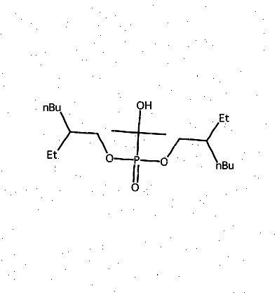 CCCCC(CC)COP(=O)(OCC(CC)CCCC)C(C)(C)O